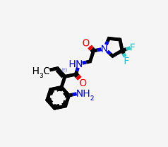 C/C=C(/C(=O)NCC(=O)N1CCC(F)(F)C1)c1ccccc1N